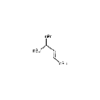 CCCCC=CC(CCC)CCCC